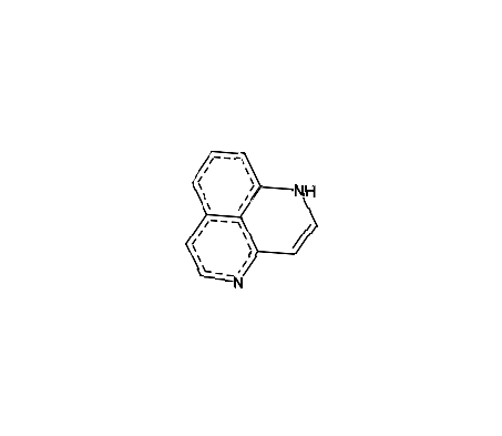 C1=Cc2nccc3cccc(c23)N1